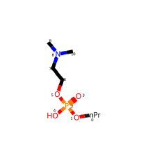 CCCOP(=O)(O)OCCN(C)C